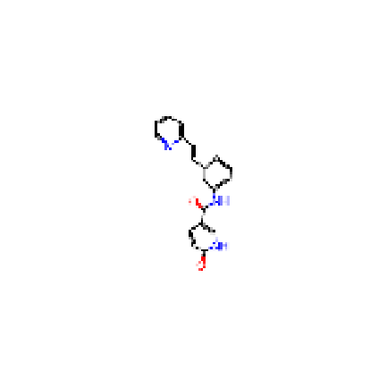 O=C(Nc1cccc(C=Cc2ccccn2)c1)c1ccc(=O)[nH]c1